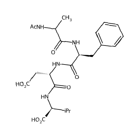 CC(=O)NC(C)C(=O)N[C@@H](Cc1ccccc1)C(=O)N[C@@H](CC(=O)O)C(=O)N[C@H](C(=O)O)C(C)C